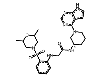 CC1CN(S(=O)(=O)c2ccccc2NCC(=O)N[C@@H]2CCCN(c3ncnc4[nH]ccc34)C2)CC(C)O1